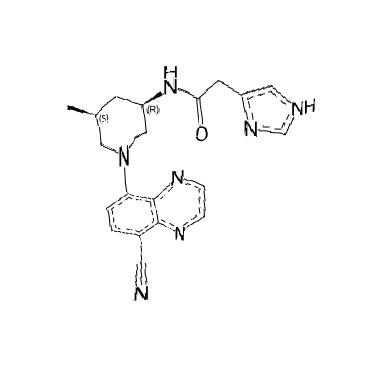 C[C@H]1C[C@@H](NC(=O)Cc2c[nH]cn2)CN(c2ccc(C#N)c3nccnc23)C1